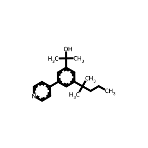 CCCC(C)(C)c1cc(-c2ccncc2)cc(C(C)(C)O)c1